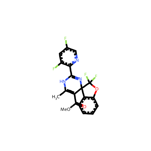 COC(=O)C1=C(C)NC(c2ncc(F)cc2F)=NC12c1ccccc1OC2(F)F